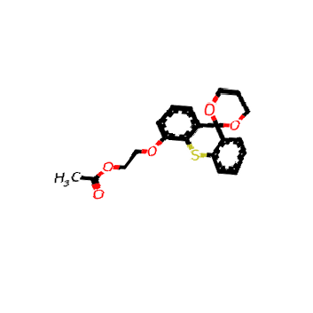 CC(=O)OCCOc1cccc2c1Sc1ccccc1C21OCCCO1